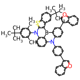 Cc1cc(C(C)(C)C)cc(C)c1N1c2cccc3c2B(c2cc(-c4coc5ccccc45)ccc2N3c2ccc(-c3coc4ccccc34)cc2)c2c1sc1ccc(C(C)(C)C)cc21